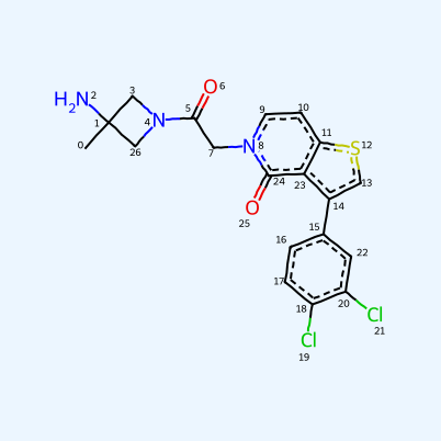 CC1(N)CN(C(=O)Cn2ccc3scc(-c4ccc(Cl)c(Cl)c4)c3c2=O)C1